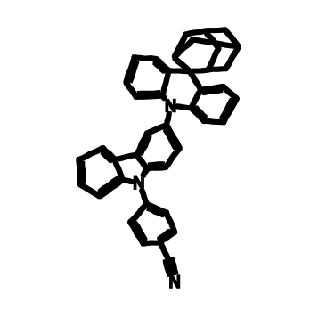 N#Cc1ccc(-n2c3ccccc3c3cc(N4c5ccccc5C5(c6ccccc64)C4CC6CC(C4)CC5C6)ccc32)cc1